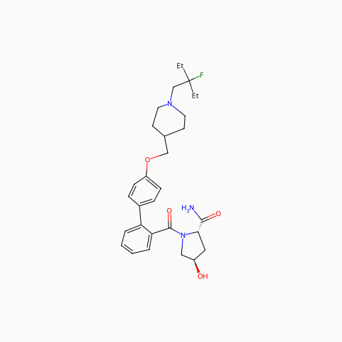 CCC(F)(CC)CN1CCC(COc2ccc(-c3ccccc3C(=O)N3C[C@H](O)C[C@H]3C(N)=O)cc2)CC1